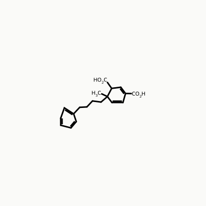 CC1(CCCCc2ccccc2)C=CC(C(=O)O)=CC1C(=O)O